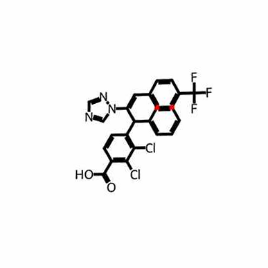 O=C(O)c1ccc(C(/C(=C\c2ccc(C(F)(F)F)cc2)n2cncn2)c2ccccc2)c(Cl)c1Cl